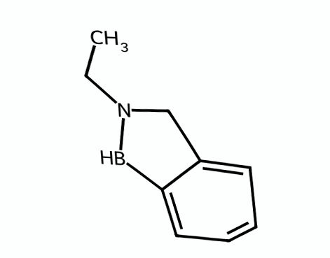 CCN1Bc2ccccc2C1